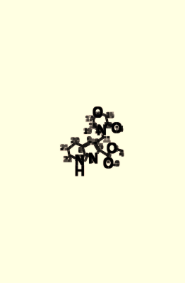 COC(OC)c1nc2c(cc1CN1C(=O)COC[C@H]1C)CCCN2